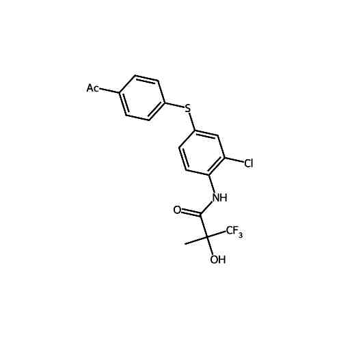 CC(=O)c1ccc(Sc2ccc(NC(=O)C(C)(O)C(F)(F)F)c(Cl)c2)cc1